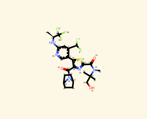 C[C@H](Nc1cc(C(F)F)c(-c2sc(C(=O)N(C)C(C)(C)CO)nc2C(=O)N2C3CCC2CC3)cn1)C(F)(F)F